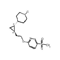 CS(=O)(=O)c1ccc(OCC[C@H]2C[C@@H]2C2CCN(Cl)CC2)nc1